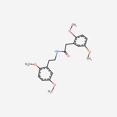 COc1ccc(OC)c(CCNC(=O)Cc2cc(OC)ccc2OC)c1